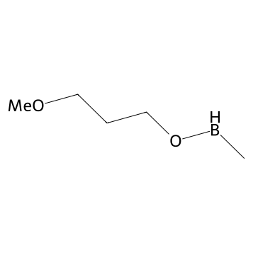 CBOCCCOC